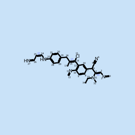 C=N/C=C(/C(C#N)c1ccc(N=C)c(/C(Cl)=C(\C)Cc2ccc(N/C=C\C=N)cc2)c1)N(C)CC